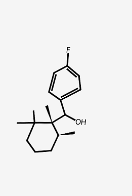 C[C@H]1CCCC(C)(C)[C@]1(C)C(O)c1ccc(F)cc1